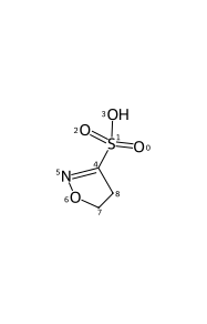 O=S(=O)(O)C1=NOCC1